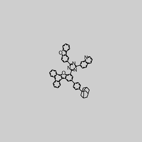 c1cnc2cc(-c3nc(-c4ccc5oc6ccccc6c5c4)nc(-c4cc(-c5ccc(C67CC8CC(CC(C8)C6)C7)cc5)cc5c4oc4c6ccccc6c6ccccc6c54)n3)ccc2c1